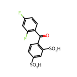 O=C(c1ccc(F)cc1F)c1ccc(S(=O)(=O)O)cc1S(=O)(=O)O